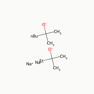 CCC(C)(C)[O-].CCCCC(C)(C)[O-].[Na+].[Na+]